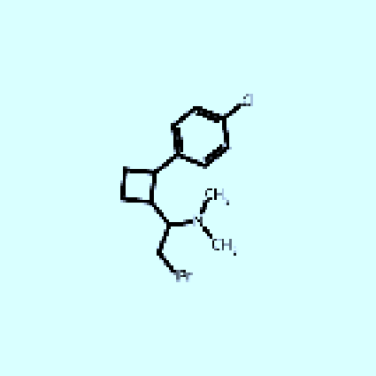 CC(C)CC(C1CCC1c1ccc(Cl)cc1)N(C)C